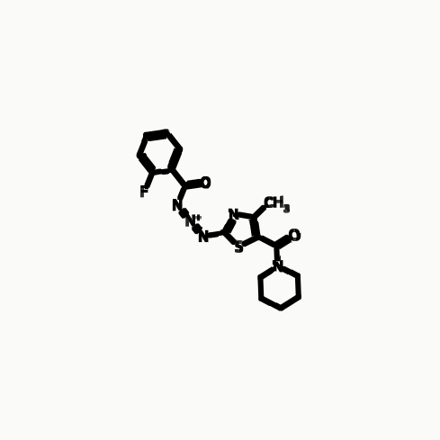 Cc1nc(N=[N+]=NC(=O)c2ccccc2F)sc1C(=O)N1CCCCC1